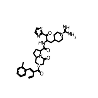 C=CC(=Cc1ccccc1C)C(=O)N1CC(=O)N2C(CCC2C(=O)NC(CC2CCN(C(=N)N)CC2)C(=O)c2nccs2)C1